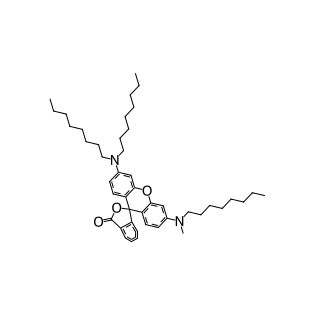 CCCCCCCCN(C)c1ccc2c(c1)Oc1cc(N(CCCCCCCC)CCCCCCCC)ccc1C21OC(=O)c2ccccc21